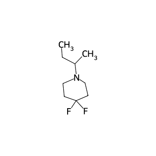 CCC(C)N1CCC(F)(F)CC1